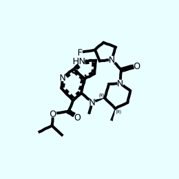 CC(C)OC(=O)c1cnc2[nH]ccc2c1N(C)[C@H]1CN(C(=O)N2CCC(F)C2)CC[C@H]1C